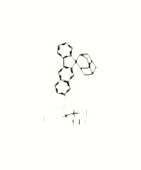 CC1(C)OB(c2ccc3cc4c(cc3c2)C2(c3ccccc3-4)C3CC4CC(C3)CC2C4)OC1(C)C